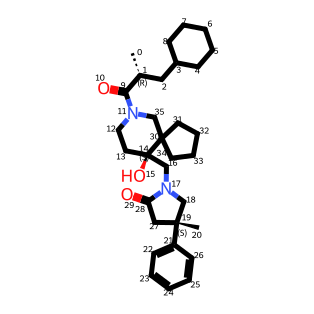 C[C@H](CC1CCCCC1)C(=O)N1CC[C@@](O)(CN2C[C@](C)(c3ccccc3)CC2=O)C2(CCCC2)C1